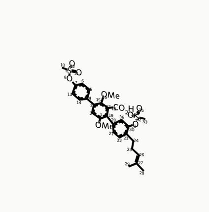 COc1cc(-c2ccc(OS(C)(=O)=O)cc2)c(OC)c(C(=O)O)c1-c1ccc(CCC=C(C)C)c(OS(C)(=O)=O)c1